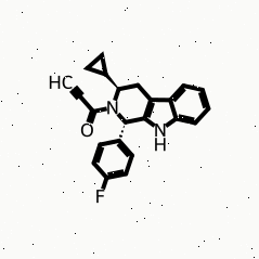 C#CC(=O)N1[C@@H](c2ccc(F)cc2)c2[nH]c3ccccc3c2C[C@@H]1C1CC1